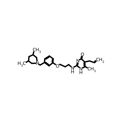 C=CCc1c(C)[nH]c(NCCCOc2cccc(CN3CC(C)CC(C)C3)c2)nc1=O